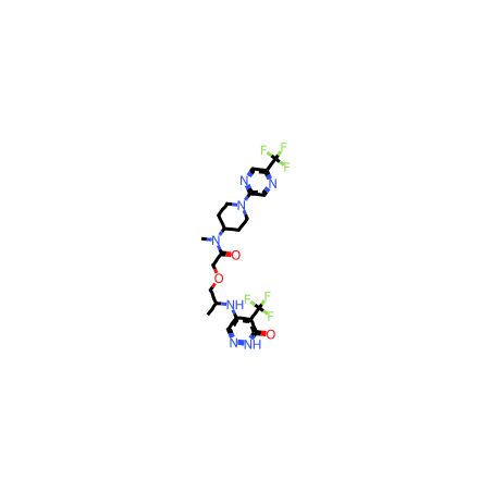 CC(COCC(=O)N(C)C1CCN(c2cnc(C(F)(F)F)cn2)CC1)Nc1cn[nH]c(=O)c1C(F)(F)F